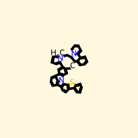 C=C1CC2C(CCc3cc4c(cc3-c3cccc[n+]31)c1cccc3c5ccc6c7ccccc7sc6c5n4c13)c1ccccc1-c1cccc[n+]12